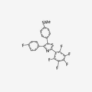 CSc1ccc(-c2sc(-c3c(F)c(F)c(F)c(F)c3F)nc2-c2ccc(F)cc2)cc1